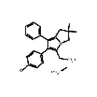 CC1(C)Cc2c(-c3ccccc3)c(-c3ccc(Cl)cc3)c(CC(=O)O)n2C1.CCOC(C)=O